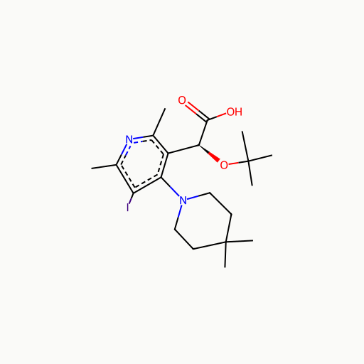 Cc1nc(C)c([C@H](OC(C)(C)C)C(=O)O)c(N2CCC(C)(C)CC2)c1I